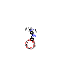 C[N+](C)(C)c1ccc(NCc2ccc3c(c2)OCCOCCOCCOCCOCCO3)cc1